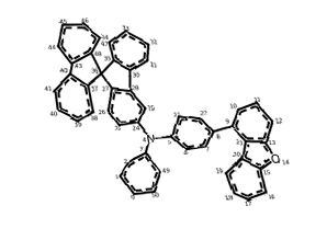 c1ccc(N(c2ccc(-c3cccc4oc5ccccc5c34)cc2)c2ccc3c(c2)-c2ccccc2C32c3ccccc3-c3ccccc32)cc1